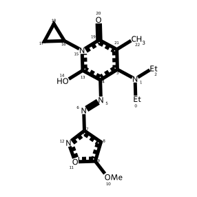 CCN(CC)c1c(N=Nc2cc(OC)on2)c(O)n(C2CC2)c(=O)c1C